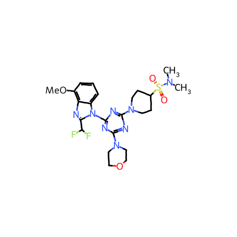 COc1cccc2c1nc(C(F)F)n2-c1nc(N2CCOCC2)nc(N2CCC(S(=O)(=O)N(C)C)CC2)n1